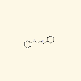 [c]1ccc(SC/C=C/c2ccccc2)cc1